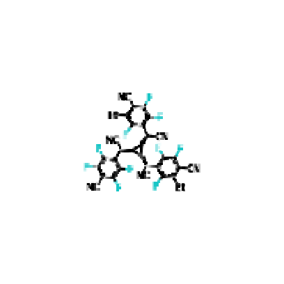 CCc1c(F)c(/C(C#N)=C2/C(=C(C#N)c3c(F)c(F)c(C#N)c(F)c3F)/C2=C(/C#N)c2c(F)c(F)c(C#N)c(CC)c2F)c(F)c(F)c1C#N